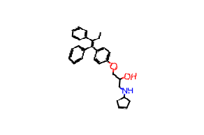 CCC(=C(c1ccccc1)c1ccc(OCC(O)CNC2CCCC2)cc1)c1ccccc1